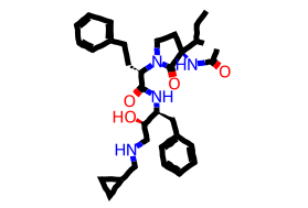 CCC(C)[C@@]1(NC(C)=O)CCN([C@@H](CCc2ccccc2)C(=O)N[C@@H](Cc2ccccc2)[C@H](O)CNCC2CC2)C1=O